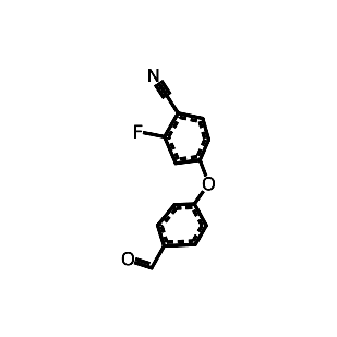 N#Cc1ccc(Oc2ccc(C=O)cc2)cc1F